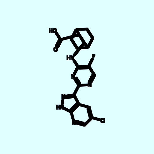 O=C(O)C1C2CCC(CC2)C1Nc1nc(-c2n[nH]c3ncc(Cl)cc23)ncc1F